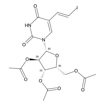 CC(=O)OC[C@H]1O[C@@H](n2cc(C=CI)c(=O)[nH]c2=O)[C@H](OC(C)=O)[C@H]1OC(C)=O